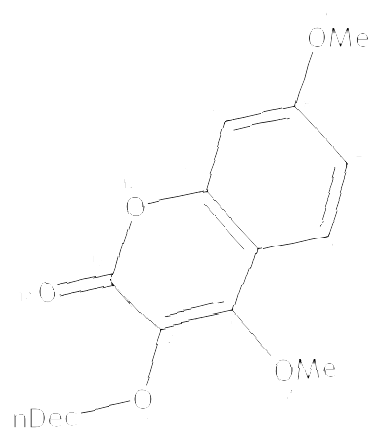 CCCCCCCCCCOc1c(OC)c2ccc(OC)cc2oc1=O